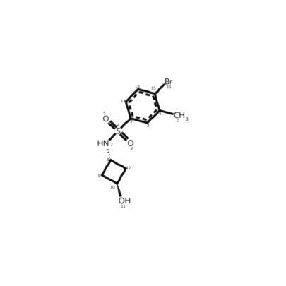 Cc1cc(S(=O)(=O)N[C@H]2C[C@H](O)C2)ccc1Br